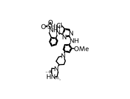 COc1cc(N2CCC(N3C[C@@H](C)N[C@@H](C)C3)CC2)ccc1Nc1ncc(Cl)c(Nc2ccccc2CN[SH](=O)=O)n1